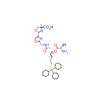 CC(C)C(N)C(=O)O[C@H](/C=C/CCSC(c1ccccc1)(c1ccccc1)c1ccccc1)CC(=O)NCc1nc(C2=N[C@](C)(C(=O)O)CO2)co1